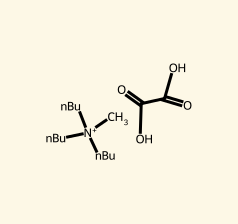 CCCC[N+](C)(CCCC)CCCC.O=C(O)C(=O)O